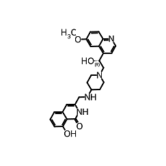 COc1ccc2nccc([C@@H](O)CN3CCC(NCc4cc5cccc(O)c5c(=O)[nH]4)CC3)c2c1